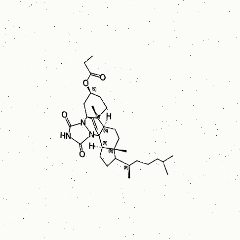 CCC(=O)O[C@H]1CC[C@]2(C)[C@H]3CC[C@]4(C)C([C@H](C)CCCC(C)C)CC[C@H]4C34C=CC2(C1)n1c(=O)[nH]c(=O)n14